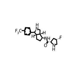 O=C(N[C@H]1CC[C@@H]2C(c3ccc(C(F)(F)F)cc3)NC[C@H]12)[C@@H]1C[C@H](F)CN1